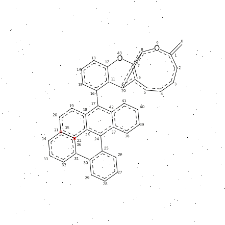 C=c1ccccc2c3c(o1)c2-c1c(cccc1-c1c2ccccc2c(-c2ccccc2-c2ccccc2)c2ccccc12)O3